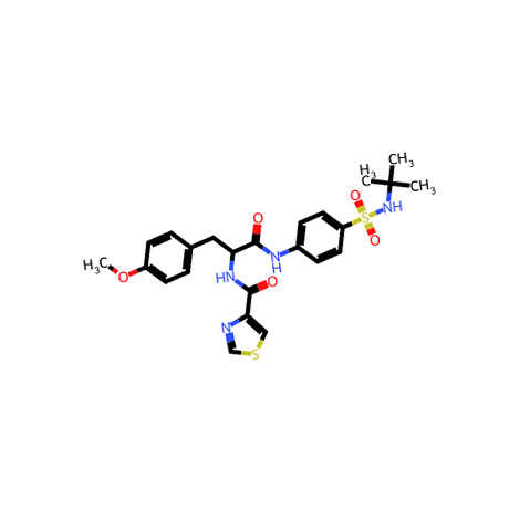 COc1ccc(CC(NC(=O)c2cscn2)C(=O)Nc2ccc(S(=O)(=O)NC(C)(C)C)cc2)cc1